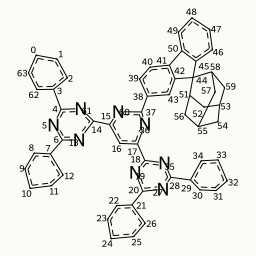 c1ccc(-c2nc(-c3ccccc3)nc(-c3cc(-c4nc(-c5ccccc5)nc(-c5ccccc5)n4)nc(-c4ccc5c(c4)C4(c6ccccc6-5)C5CC6CC(C5)CC4C6)n3)n2)cc1